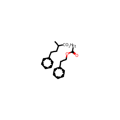 CC(CCc1ccccc1)C(=O)O.CCC(=O)OCCc1ccccc1